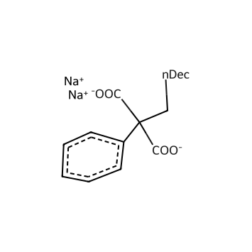 CCCCCCCCCCCC(C(=O)[O-])(C(=O)[O-])c1ccccc1.[Na+].[Na+]